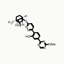 COc1ncnc(-c2ccc(-c3ccc(O[C@@H]4[C@H]5CC[C@](C)(NC5)[C@@H]4F)nn3)c(O)c2)n1